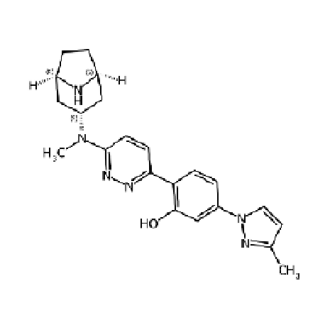 Cc1ccn(-c2ccc(-c3ccc(N(C)[C@@H]4C[C@H]5CC[C@@H](C4)N5)nn3)c(O)c2)n1